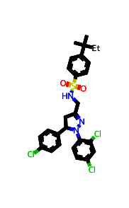 CCC(C)(C)c1ccc(S(=O)(=O)NCC2=NN(c3ccc(Cl)cc3Cl)C(c3ccc(Cl)cc3)C2)cc1